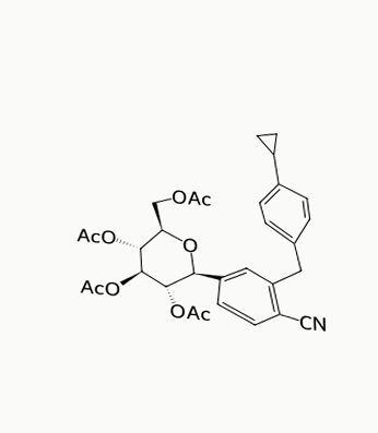 CC(=O)OC[C@H]1O[C@@H](c2ccc(C#N)c(Cc3ccc(C4CC4)cc3)c2)[C@H](OC(C)=O)[C@@H](OC(C)=O)[C@@H]1OC(C)=O